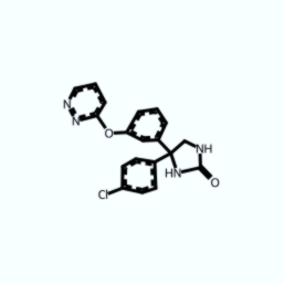 O=C1NCC(c2ccc(Cl)cc2)(c2cccc(Oc3cccnn3)c2)N1